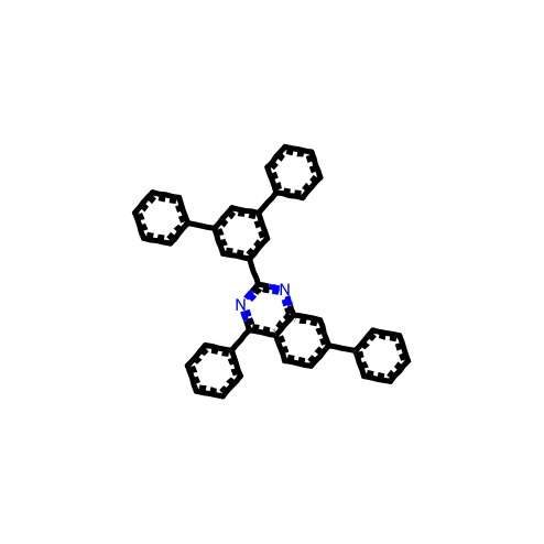 c1ccc(-c2cc(-c3ccccc3)cc(-c3nc(-c4ccccc4)c4ccc(-c5ccccc5)cc4n3)c2)cc1